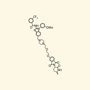 C=C1CCC(N2C(=O)c3ccc(OCCOCCN4CCN(Cc5ccc6c(c5)nc(NC(=O)c5cccc(C(F)(F)F)c5)n6-c5cccc(OC)c5)CC4)cc3C2=O)C(=O)N1